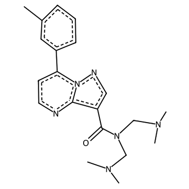 Cc1cccc(-c2ccnc3c(C(=O)N(CN(C)C)CN(C)C)cnn23)c1